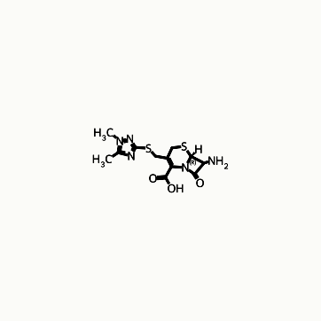 Cc1nc(SCC2=C(C(=O)O)N3C(=O)C(N)[C@H]3SC2)nn1C